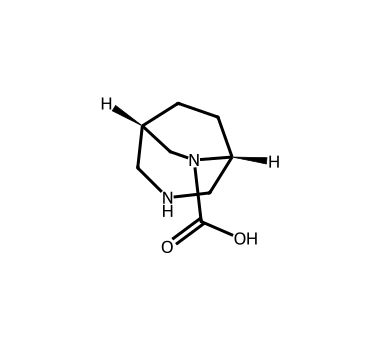 O=C(O)N1C[C@H]2CC[C@@H]1CNC2